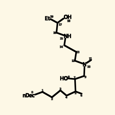 CCCCCCCCCCCCCCC(C)C(O)CN(C)CCCNCC(O)CC